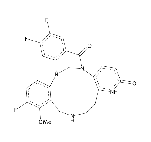 COc1c(F)ccc2c1CNCCc1[nH]c(=O)ccc1N1CN2c2cc(F)c(F)cc2C1=O